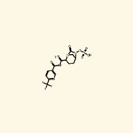 N=C(NC(=O)c1ccc(C(F)(F)F)nc1)C1CCC2CN1C(=O)N2OS(=O)(=O)O